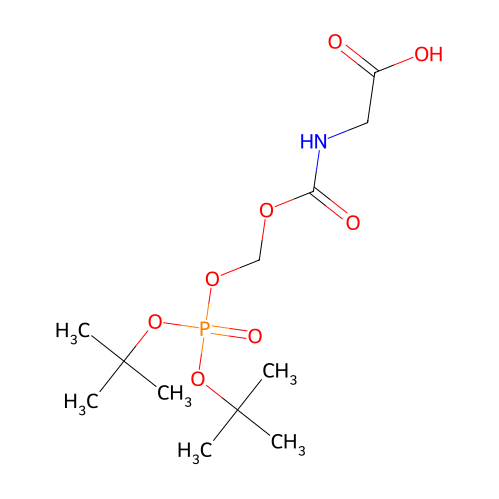 CC(C)(C)OP(=O)(OCOC(=O)NCC(=O)O)OC(C)(C)C